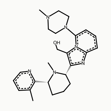 Cc1cccnc1[C@H]1CCC[C@@H](c2nc3cccc(N4CCN(C)CC4)n3c2CO)N1C